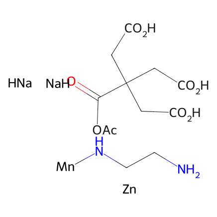 CC(=O)OC(=O)C(CC(=O)O)(CC(=O)O)CC(=O)O.NCC[NH][Mn].[NaH].[NaH].[Zn]